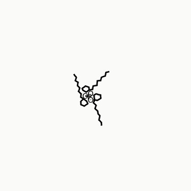 CCCCCCCCCC1(OP(OC2(CCCCCCCCC)CCCCC2)OC2(CCCCCCCCC)CCCCC2)CCCCC1